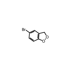 Brc1ccc2c(c1)COO2